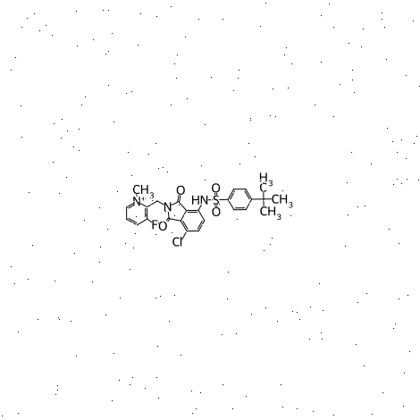 C[n+]1cccc(F)c1CN1C(=O)c2c(Cl)ccc(NS(=O)(=O)c3ccc(C(C)(C)C)cc3)c2C1=O